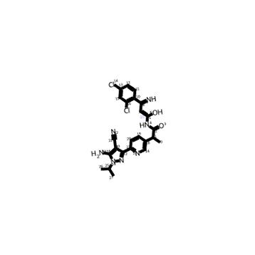 CC(C(=O)N/C(O)=C/C(=N)c1ccc(Cl)cc1Cl)c1ccc(-c2nn(C(C)C)c(N)c2C#N)nc1